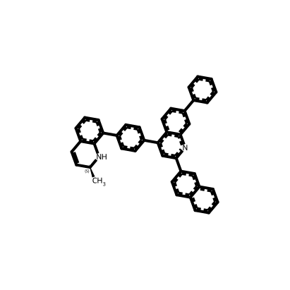 C[C@H]1C=Cc2cccc(-c3ccc(-c4cc(-c5ccc6ccccc6c5)nc5cc(-c6ccccc6)ccc45)cc3)c2N1